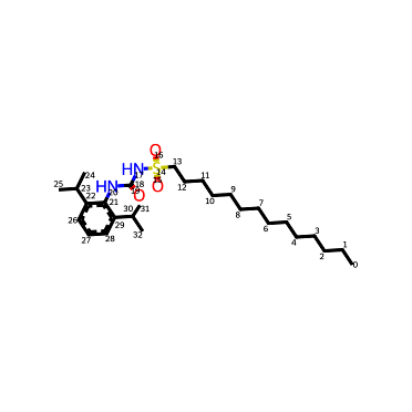 CCCCCCCCCCCCCCS(=O)(=O)NC(=O)Nc1c(C(C)C)cccc1C(C)C